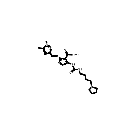 COC(=O)c1c(OCc2cc(C)n(C)n2)nsc1NC(=O)NCCCCN1CCCC1